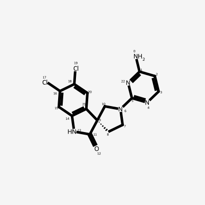 Nc1ccnc(N2CC[C@]3(C2)C(=O)Nc2cc(Cl)c(Cl)cc23)n1